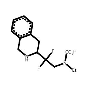 CCN(CC(F)(F)C1Cc2ccccc2CN1)C(=O)O